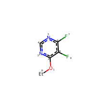 CCOc1n[c]nc(F)c1F